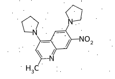 Cc1cc(N2CCCC2)c2cc(N3CCCC3)c([N+](=O)[O-])cc2n1